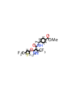 COC(=O)c1ccc([C@H](C)NC(=O)c2c(C(F)(F)F)nn(C)c2Oc2csc(C(F)(F)F)c2)cc1